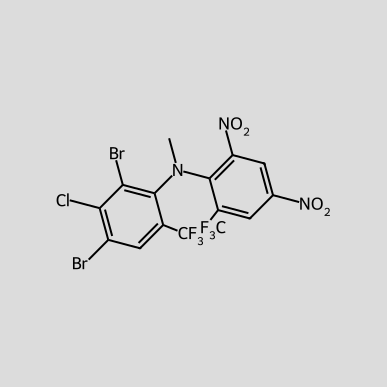 CN(c1c([N+](=O)[O-])cc([N+](=O)[O-])cc1C(F)(F)F)c1c(C(F)(F)F)cc(Br)c(Cl)c1Br